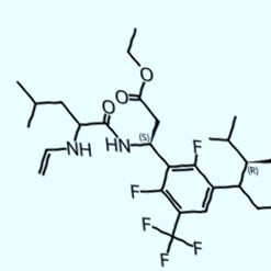 C=CNC(CC(C)C)C(=O)N[C@@H](CC(=O)OCC)c1c(F)c(C(CC)[C@H](C)C(C)C)cc(C(F)(F)F)c1F